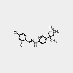 CCC(C)(CC)c1ccc(NN=Cc2ccc(Cl)cc2Cl)nn1